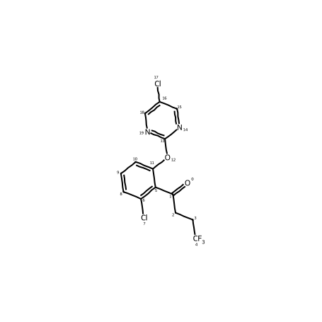 O=C(CCC(F)(F)F)c1c(Cl)cccc1Oc1ncc(Cl)cn1